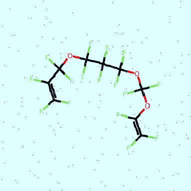 FC(F)=C(F)OC(F)(F)OC(F)(F)C(F)(F)C(F)(F)OC(F)(F)C(F)=C(F)F